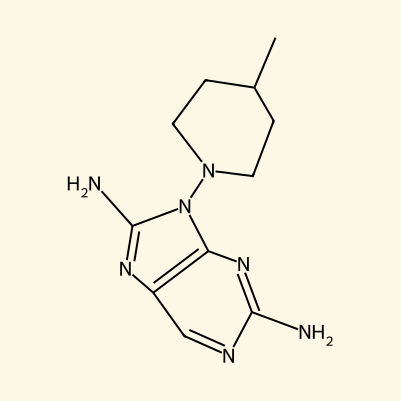 CC1CCN(n2c(N)nc3cnc(N)nc32)CC1